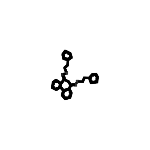 c1ccc(CCON=C2CC(=NOCCc3ccccc3)c3ccccc3-c3ccccc32)cc1